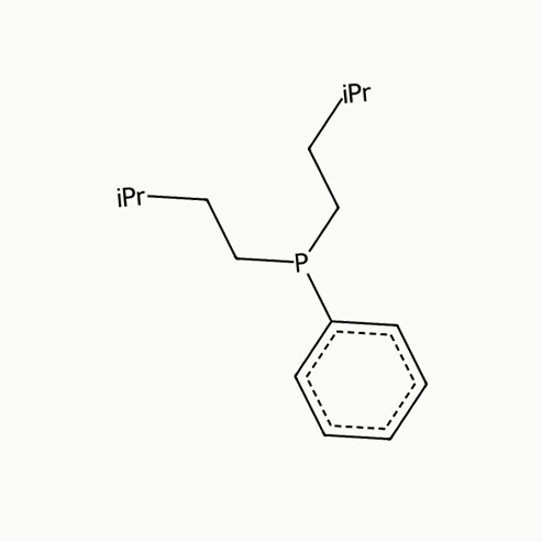 CC(C)CCP(CCC(C)C)c1ccccc1